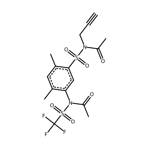 C#CCN(C(C)=O)S(=O)(=O)c1cc(N(C(C)=O)S(=O)(=O)C(F)(F)F)c(C)cc1C